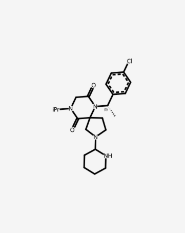 CC(C)N1CC(=O)N([C@@H](C)c2ccc(Cl)cc2)C2(CCN(C3CCCCN3)C2)C1=O